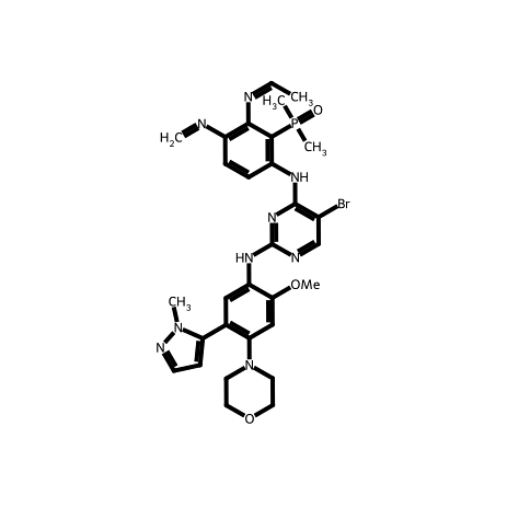 C=Nc1ccc(Nc2nc(Nc3cc(-c4ccnn4C)c(N4CCOCC4)cc3OC)ncc2Br)c(P(C)(C)=O)c1/N=C\C